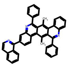 Cc1c2c(-c3ccccc3)nc3cc(-c4nccc5ccccc45)ccc3c2c(C)c2c(-c3ccccc3)nc3ccccc3c12